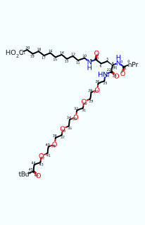 CCCC(=O)N[C@H](CCC(=O)NCCCCCCCCCCCC(=O)O)C(=O)NCCOCCOCCOCCOCCOCCOCCC(=O)C(C)(C)C